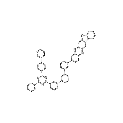 c1ccc(-c2ccc(-c3nc(-c4ccccc4)nc(-c4cccc(-c5cccc(-c6cccc(-c7ccc8nc9cc%10c(cc9nc8c7)oc7ccccc7%10)c6)c5)c4)n3)cc2)cc1